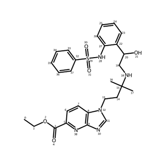 CCOC(=O)c1ccc2c(ncn2CCC(C)(C)NCC(O)c2ccccc2NS(=O)(=O)c2ccccc2)n1